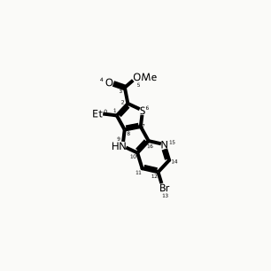 CCc1c(C(=O)OC)sc2c1[nH]c1cc(Br)cnc12